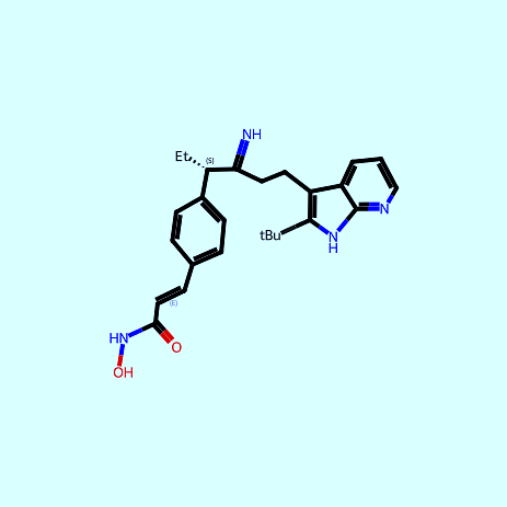 CC[C@H](C(=N)CCc1c(C(C)(C)C)[nH]c2ncccc12)c1ccc(/C=C/C(=O)NO)cc1